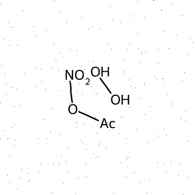 CC(=O)O[N+](=O)[O-].OO